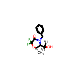 [2H]C([2H])(O)C1[C@H](C)OC(F)(F)C(=O)N1Cc1ccccc1